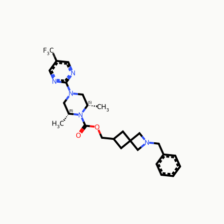 C[C@@H]1CN(c2ncc(C(F)(F)F)cn2)C[C@H](C)N1C(=O)OCC1CC2(C1)CN(Cc1ccccc1)C2